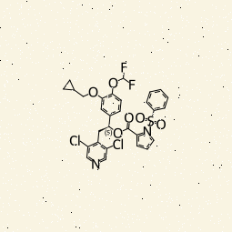 O=C(O[C@@H](Cc1c(Cl)cncc1Cl)c1ccc(OC(F)F)c(OCC2CC2)c1)c1cccn1S(=O)(=O)c1ccccc1